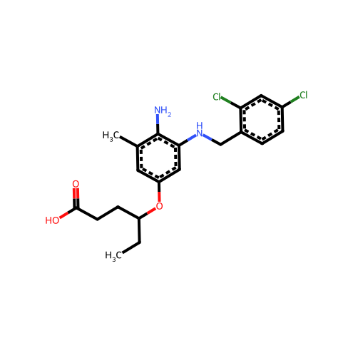 CCC(CCC(=O)O)Oc1cc(C)c(N)c(NCc2ccc(Cl)cc2Cl)c1